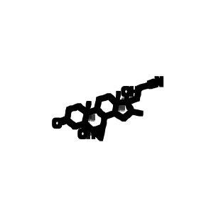 CC1CC2C3C4CC4[C@]4(O)CC(=O)CC[C@]4(C)C3CC[C@]2(C)[C@]1(O)CCC#N